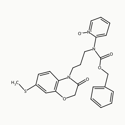 CSc1ccc2c(c1)OCC(=O)N2CCCN(C(=O)OCc1ccccc1)c1cccc[n+]1[O-]